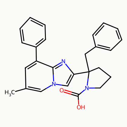 Cc1cc(-c2ccccc2)c2nc(C3(Cc4ccccc4)CCCN3C(=O)O)cn2c1